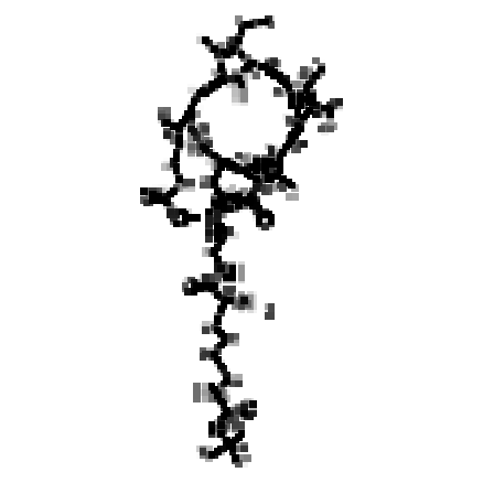 CCC1=C(C)/C2=C/C3NC(/C(CC(=O)NCCNC(=O)C(N)CCCCNC(=O)OC(C)(C)C)=C4\NC(/C=c5\[nH]/c(c(C)c5CC)=C\C1N2)C(C)=C4C(=O)O)C(CCC(=O)O)C3C